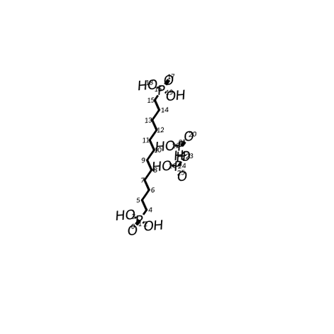 O=P(O)(O)CCCCCCCCCCCCP(=O)(O)O.O=[PH](O)O[PH](=O)O